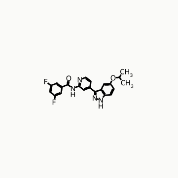 CC(C)Oc1ccc2[nH]nc(-c3ccnc(NC(=O)c4cc(F)cc(F)c4)c3)c2c1